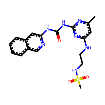 Cc1cc(NCCNS(C)(=O)=O)nc(NC(=O)Nc2cc3ccccc3cn2)n1